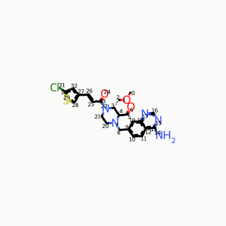 COC[C@@H]1C(C=O)N(Cc2ccc3c(N)ncnc3c2)CCN1C(=O)C=Cc1csc(Cl)c1